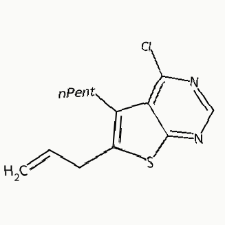 C=CCc1sc2ncnc(Cl)c2c1CCCCC